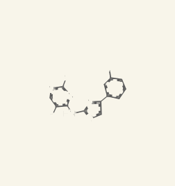 Fc1cnc(Cl)nc1Nc1nc(-c2cccc(Cl)c2)cs1